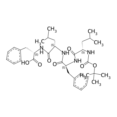 CC(C)C[C@H](NC(=O)OC(C)(C)C)C(=O)N[C@@H](Cc1ccccc1)C(=O)N[C@@H](CC(C)C)C(=O)N[C@@H](Cc1ccccc1)C(=O)O